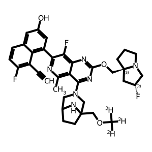 [2H]C([2H])([2H])OCC12CCC(CN(c3nc(OC[C@@]45CCCN4C[C@H](F)C5)nc4c(F)c(-c5cc(O)cc6ccc(F)c(C#C)c56)nc(C)c34)C1)N2